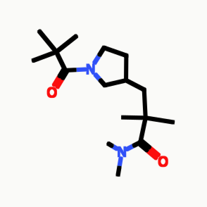 CN(C)C(=O)C(C)(C)CC1CCN(C(=O)C(C)(C)C)C1